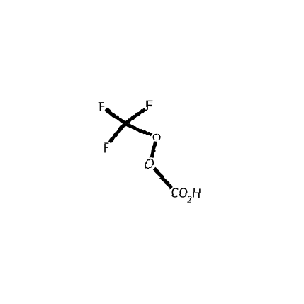 O=C(O)OOC(F)(F)F